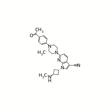 CN[C@H]1C[C@H](n2cc(C#N)c3ccc(N4CCN(c5ccc(C(C)=O)cc5)[C@@H](C)C4)nc32)C1